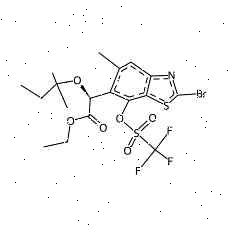 CCOC(=O)[C@@H](OC(C)(C)CC)c1c(C)cc2nc(Br)sc2c1OS(=O)(=O)C(F)(F)F